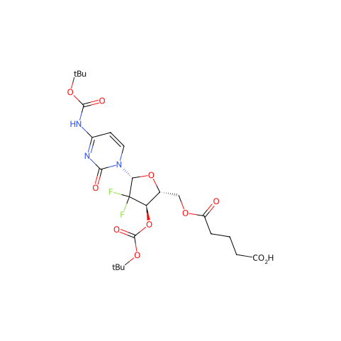 CC(C)(C)OC(=O)Nc1ccn([C@@H]2O[C@H](COC(=O)CCCC(=O)O)[C@@H](OC(=O)OC(C)(C)C)C2(F)F)c(=O)n1